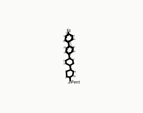 CCCCCC1CCC(C2CCC(c3ccc(-c4ccc(CC)cc4)cc3)CC2)CC1